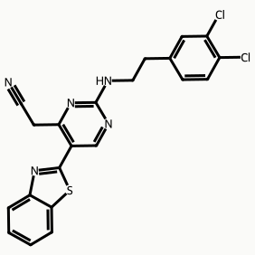 N#CCc1nc(NCCc2ccc(Cl)c(Cl)c2)ncc1-c1nc2ccccc2s1